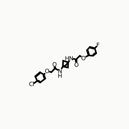 O=C(COc1ccc(F)cc1)NC12CC(NC(=O)COc3ccc(Cl)cc3)(C1)C2